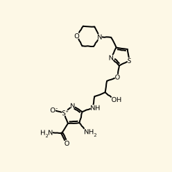 NC(=O)c1c(N)c(NCC(O)COc2nc(CN3CCOCC3)cs2)n[s+]1[O-]